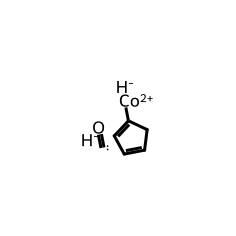 [C]=O.[Co+2][C]1=CC=CC1.[H-].[H-]